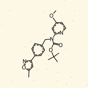 COc1ccnc(N(Cc2ccc(-c3cc(C)on3)cc2)C(=O)OC(C)(C)C)c1